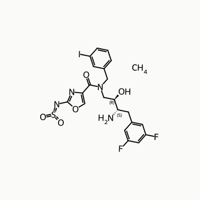 C.N[C@@H](Cc1cc(F)cc(F)c1)[C@H](O)CN(Cc1cccc(I)c1)C(=O)c1coc(N=S(=O)=O)n1